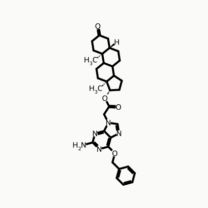 C[C@]12CCC3C(CC[C@H]4CC(=O)CC[C@]34C)C1CC[C@@H]2OC(=O)Cn1cnc2c(OCc3ccccc3)nc(N)nc21